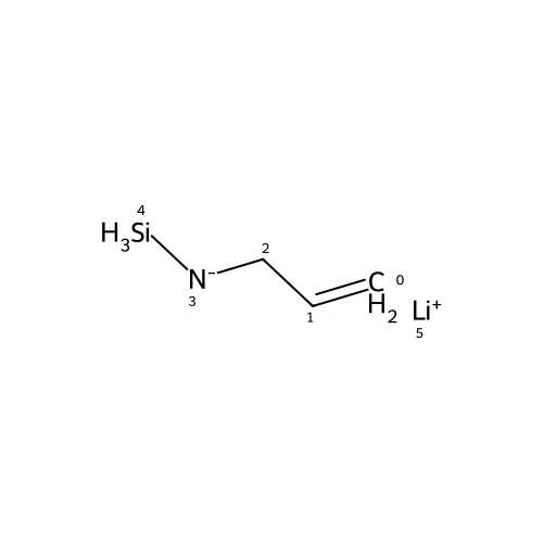 C=CC[N-][SiH3].[Li+]